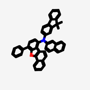 CC1(C)c2ccccc2-c2ccc(N(c3ccc4ccccc4c3)c3ccc(-c4ccccc4)c4oc5c6ccccc6ccc5c34)cc21